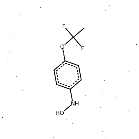 CC(F)(F)Oc1ccc(NO)cc1